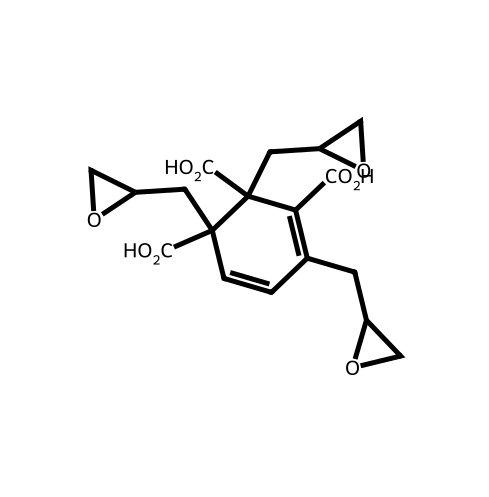 O=C(O)C1=C(CC2CO2)C=CC(CC2CO2)(C(=O)O)C1(CC1CO1)C(=O)O